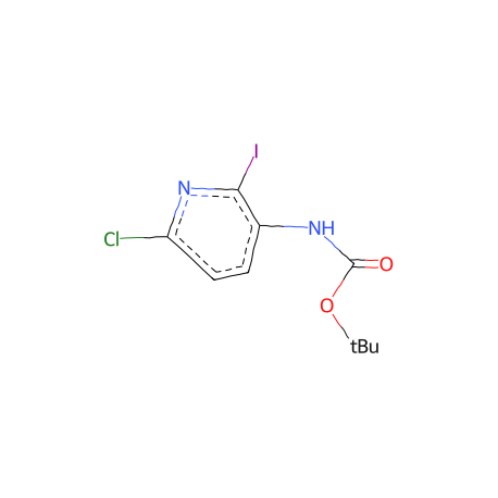 CC(C)(C)OC(=O)Nc1ccc(Cl)nc1I